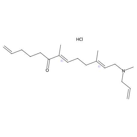 C=CCCCC(=O)/C(C)=C/CC/C(C)=C/CN(C)CC=C.Cl